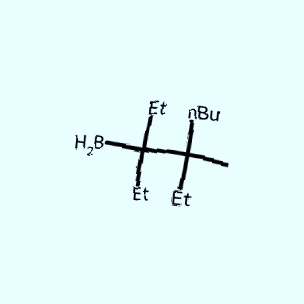 BC(CC)(CC)C(C)(CC)CCCC